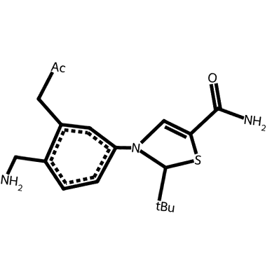 CC(=O)Cc1cc(N2C=C(C(N)=O)SC2C(C)(C)C)ccc1CN